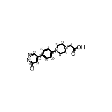 O=C(O)CN1CCN(c2ccc(-c3cnnc(Cl)c3)cc2)CC1